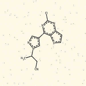 CC(CC#N)n1cc(-c2nc(Cl)nc3ccsc23)cn1